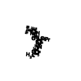 CC(C)Oc1cc2nc(C34CCC(C)(C3)OC4)cn2cc1NC(=O)c1cccc(C(F)F)n1